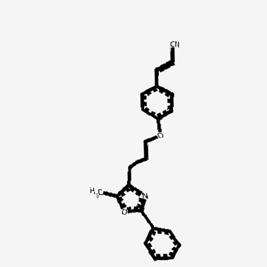 Cc1oc(-c2ccccc2)nc1CCCOc1ccc(/C=C/C#N)cc1